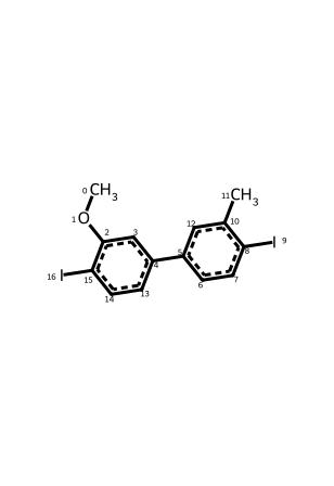 COc1cc(-c2ccc(I)c(C)c2)ccc1I